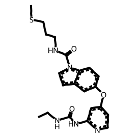 CCNC(=O)Nc1cc(Oc2ccc3c(ccn3C(=O)NCCCSC)c2)ccn1